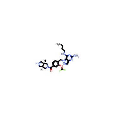 CCCCNc1nc(N)nc2cnn(Cc3ccc(C(=O)N4C[C@H]5CNC[C@H]5C4)cc3OC(F)F)c12